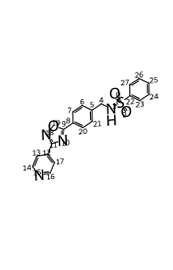 O=S(=O)(NCc1ccc(-c2nc(-c3ccncc3)no2)cc1)c1ccccc1